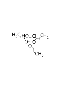 C=CCOC(OCC=C)(OCC=C)C(C)O